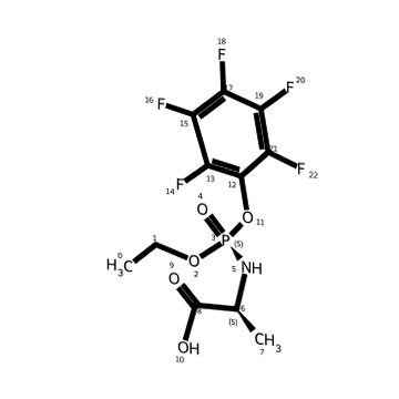 CCO[P@@](=O)(N[C@@H](C)C(=O)O)Oc1c(F)c(F)c(F)c(F)c1F